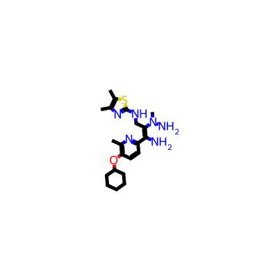 Cc1nc(/C(N)=C(\CNc2nc(C)c(C)s2)N(C)N)ccc1OC1CCCCC1